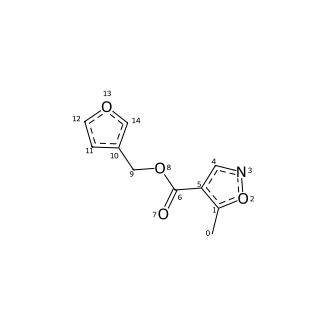 Cc1oncc1C(=O)OCc1ccoc1